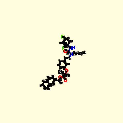 CCCCCCCN(CCc1cccc(OC(C)(CC)C(=O)OC(C)c2ccc3ccccc3c2)c1)C(=O)Nc1ccc(F)cc1F